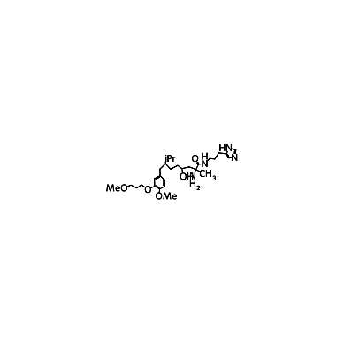 COCCCOc1cc(C[C@H](CC[C@H](O)C[C@@](C)(N)C(=O)NCCCc2cnc[nH]2)C(C)C)ccc1OC